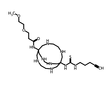 C#CCCCNC(=S)NC12CNCCNCC(NC(=O)CCOCCOC)(CNCCNC1)CNCCNC2